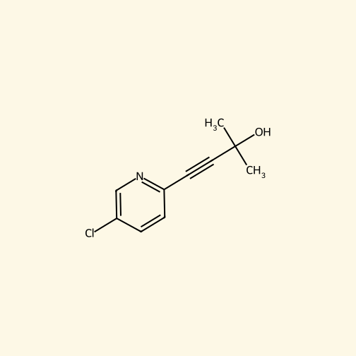 CC(C)(O)C#Cc1ccc(Cl)cn1